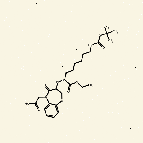 CCOC(=O)[C@H](CCCCCCNC(=O)OC(C)(C)C)N[C@H]1CSc2ccccc2N(CC(=O)O)C1=O